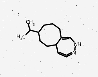 CC(C)C1CCCC2=CNN=C=CC2CC1